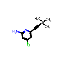 C[Si](C)(C)C#Cc1cc(Cl)cc(N)n1